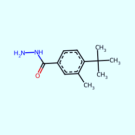 Cc1cc(C(=O)NN)ccc1C(C)(C)C